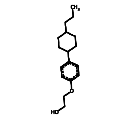 CCCC1CCC(c2ccc(OCCO)cc2)CC1